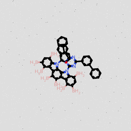 Bc1cc(B)c2c(c1B)c1c(B)c(B)c3c4c(B)c(B)cc(B)c4n(-c4nc(-c5ccccc5)nc(-c5cccc(-c6ccccc6)c5)n4)c3c1n2-c1cccc(-c2ccccc2)c1